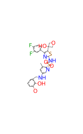 COc1cccc(CNc2cnc(S(=O)(=O)Nc3nc(-c4ccc(F)c(F)c4)c(C4(O)COC4)s3)c(C)c2)c1O